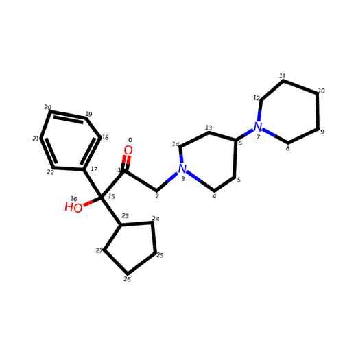 O=C(CN1CCC(N2CCCCC2)CC1)C(O)(c1ccccc1)C1CCCC1